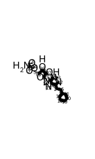 NS(=O)(=O)OC[C@H]1O[C@@H](n2cnc3c(CCc4ccccc4)ncnc32)[C@H](O)[C@@H]1O